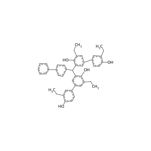 CCc1cc(-c2cc(CC)c(O)c(C(c3ccc(-c4ccccc4)cc3)c3cc(-c4ccc(O)c(CC)c4)cc(CC)c3O)c2)ccc1O